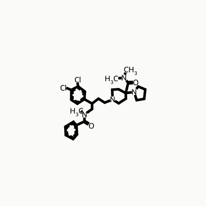 CN(C)C(=O)C1(N2CCCC2)CCN(CCC(CN(C)C(=O)c2ccccc2)c2ccc(Cl)c(Cl)c2)CC1